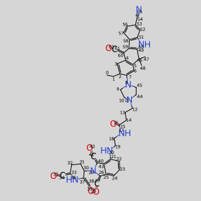 CCc1cc2c(cc1N1CCN(CCCC(=O)NCCNc3cccc4c(=C=O)n(C5CCC(=C=O)NC5=C=O)c(=C=O)c34)CC1)C(C)(C)c1[nH]c3cc(C#N)ccc3c1C2=C=O